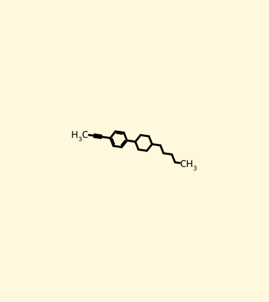 CC#Cc1ccc(C2CCC(CCCCC)CC2)cc1